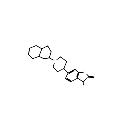 CCC1C(=O)Nc2cc(C3CCN(C4CCC5CCCCC5C4)CC3)ccc21